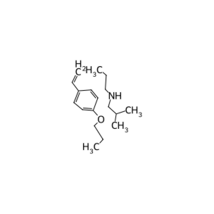 C=Cc1ccc(OCCC)cc1.CCCNCC(C)C